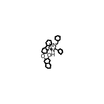 c1ccc(CNC(Nn2c3ccccc3c3ccc4c(c32)Oc2cc3ccccc3cc2O4)c2ccccc2)cc1